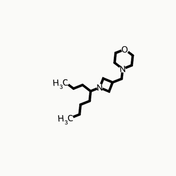 CCCCC(CCC)N1CC(CN2CCOCC2)C1